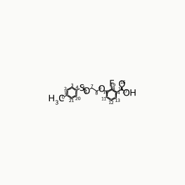 Cc1ccc(SOCCOc2cccc(C(=O)O)c2F)cc1